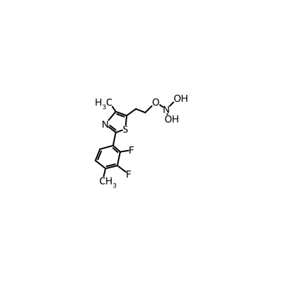 Cc1ccc(-c2nc(C)c(CCON(O)O)s2)c(F)c1F